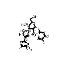 OCC1O[C@H](Sc2ccc(Cl)c(Cl)c2)C(O)C(N2C=C(c3nc(C(F)(F)F)cs3)NN2)[C@H]1O